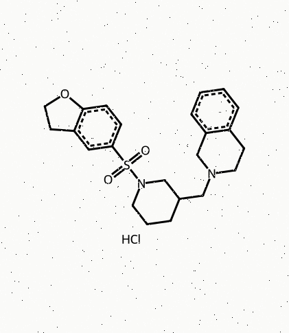 Cl.O=S(=O)(c1ccc2c(c1)CCO2)N1CCCC(CN2CCc3ccccc3C2)C1